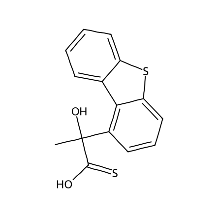 CC(O)(C(O)=S)c1cccc2sc3ccccc3c12